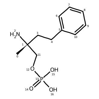 C[C@@](N)(CCc1ccccc1)COP(=O)(O)O